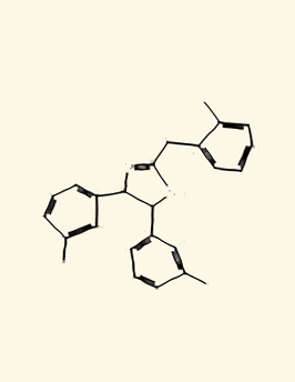 Fc1cccc(C2N=C(Cc3ccccc3F)NC2c2cccc(F)c2)c1